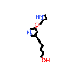 OCCCCC#Cc1cncc(OCC2CCN2)c1